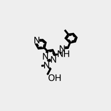 Cc1cccc(C=NNc2cc(-c3ccncc3)nc(N(C)CCO)n2)c1